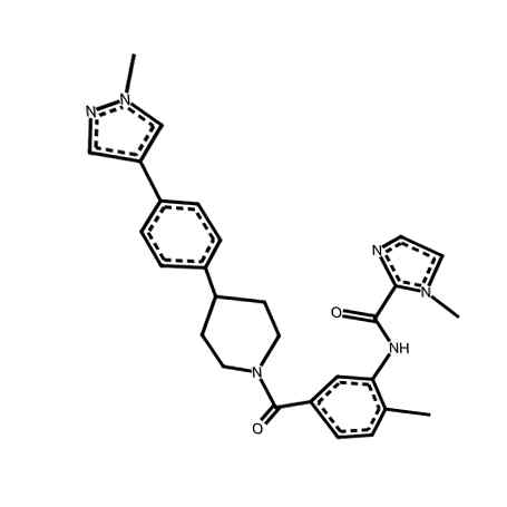 Cc1ccc(C(=O)N2CCC(c3ccc(-c4cnn(C)c4)cc3)CC2)cc1NC(=O)c1nccn1C